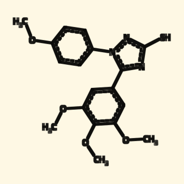 COc1ccc(-n2nc(S)nc2-c2cc(OC)c(OC)c(OC)c2)cc1